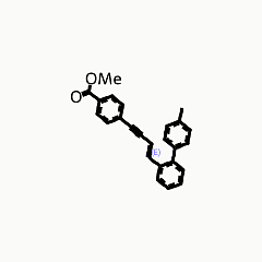 COC(=O)c1ccc(C#C/C=C/c2ccccc2-c2ccc(C)cc2)cc1